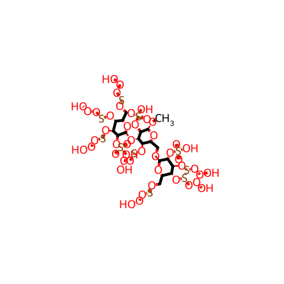 CO[C@H]1OC(CO[C@@H]2OC(COSOOO)[C@@H](OSOOO)[C@H](OSOOO)C2OS(=O)(=O)O)[C@@H](OSOOO)[C@H](O[C@@H]2OC(COSOOO)[C@@H](OSOOO)[C@H](OSOOO)C2OS(=O)(=O)O)C1OS(=O)(=O)O